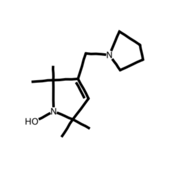 CC1(C)C=C(CN2CCCC2)C(C)(C)N1O